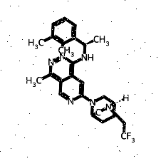 Cc1cccc([C@@H](C)Nc2nnc(C)c3cnc(N4C[C@H]5CCC4CN5CC(F)(F)F)cc23)c1C